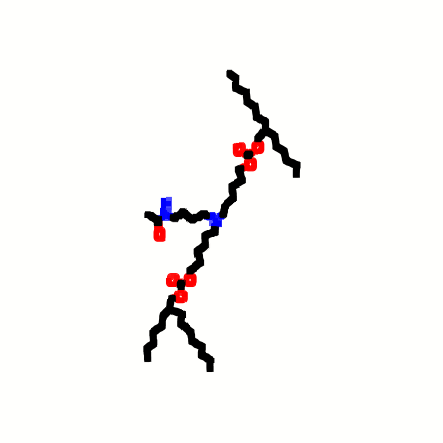 CCCCCCCCC(CCCCCC)COC(=O)OCCCCCCN(CCCCCCOC(=O)OCC(CCCCCC)CCCCCCCC)CCCCNC(C)=O